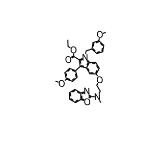 CCOC(=O)c1c(-c2ccc(OC)cc2)c2cc(OCCN(C)c3nc4ccccc4o3)ccc2n1Cc1cccc(OC)c1